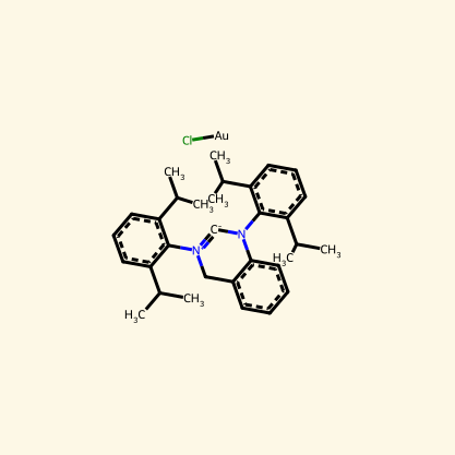 CC(C)c1cccc(C(C)C)c1N1[C-]=[N+](c2c(C(C)C)cccc2C(C)C)Cc2ccccc21.[Cl][Au]